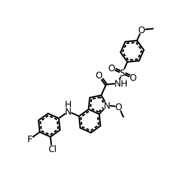 COc1ccc(S(=O)(=O)NC(=O)c2cc3c(Nc4ccc(F)c(Cl)c4)cccc3n2OC)cc1